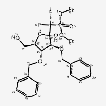 CCOP(=O)(OCC)C(F)(F)[C@]1(O)O[C@H](CO)[C@@H](OCc2ccccc2)[C@@H]1OCc1ccccc1